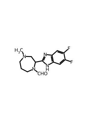 CN1CCCN(C=O)C(c2nc3cc(F)c(F)cc3[nH]2)C1